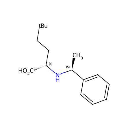 C[C@H](N[C@@H](CCC(C)(C)C)C(=O)O)c1ccccc1